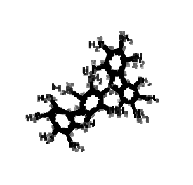 Bc1c(B)c(B)c2c([nH]c3c(B)c(-n4c5c(B)c(B)c(B)c(B)c5c5c(B)c(B)c(B)c(B)c54)c(B)c(B)c32)c1B